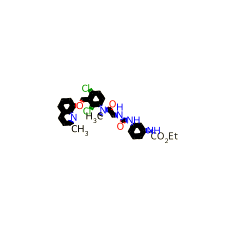 CCOC(=O)Nc1cccc(NC(=O)NCC(=O)N(C)c2ccc(Cl)c(COc3cccc4ccc(C)nc34)c2Cl)c1